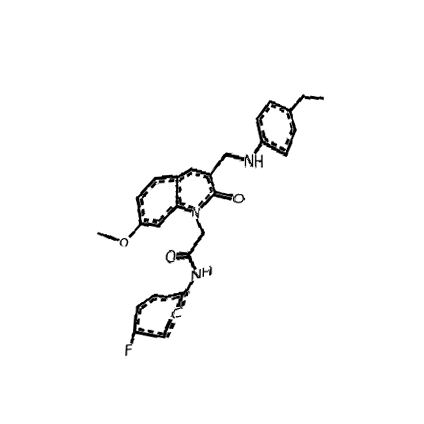 CCc1ccc(NCc2cc3ccc(OC)cc3n(CC(=O)Nc3ccc(F)cc3)c2=O)cc1